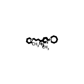 CC1CCCCN1CCCc1nn(C)c2nc(N3CCCCCCC3)ccc12